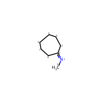 CN=C1CCCCCC1